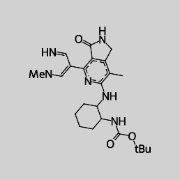 CN/C=C(\C=N)c1nc(NC2CCCCC2NC(=O)OC(C)(C)C)c(C)c2c1C(=O)NC2